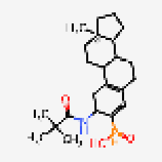 CC(C)(C)C(=O)NC1CC2=C(C=C1[PH](=O)O)CCC1C2CC[C@]2(C)CCCC12